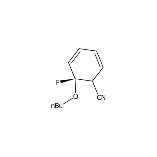 CCCCO[C@]1(F)C=CC=CC1C#N